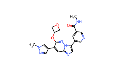 CNC(=O)c1cncc(-c2cnc3cc(-c4cnn(C)c4)c(OC4COC4)nn23)c1